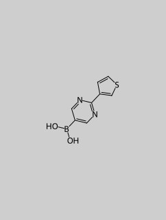 OB(O)c1cnc(-c2ccsc2)nc1